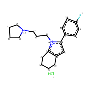 Cl.Fc1ccc(-c2cc3c(n2CCCN2CCCC2)CCCC3)cc1